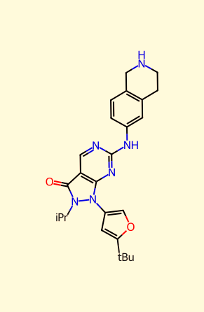 CC(C)n1c(=O)c2cnc(Nc3ccc4c(c3)CCNC4)nc2n1-c1coc(C(C)(C)C)c1